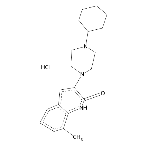 Cc1cccc2cc(N3CCN(C4CCCCC4)CC3)c(=O)[nH]c12.Cl